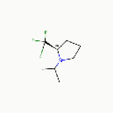 CC(C)N1CCC[C@@H]1C(F)(F)F